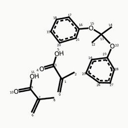 C=C(C)C(=O)O.C=C(C)C(=O)O.CC(C)(Oc1ccccc1)Oc1ccccc1